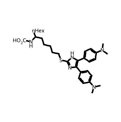 CCCCCCC(CCCCCSc1nc(-c2ccc(N(C)C)cc2)c(-c2ccc(N(C)C)cc2)[nH]1)NC(=O)O